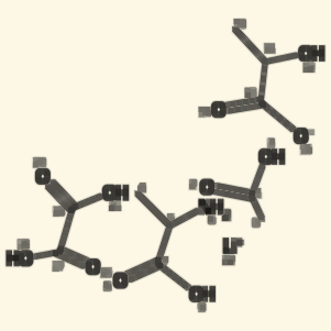 CC(=O)O.CC(N)C(=O)O.CC(O)C(=O)[O-].O=C(O)C(=O)O.[Li+]